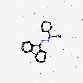 CC(=NN=C1c2ccccc2-c2ccccc21)c1ccccc1